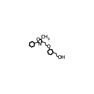 Cc1oc(-c2ccccc2)nc1CCOc1cccc(CCO)c1